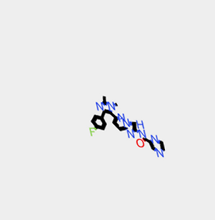 Cc1nc(-c2ccc(F)cc2)c(-c2ccc3nc(NC(=O)c4cnccn4)cn3n2)n1C